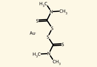 CN(C)C(=S)SSC(=S)N(C)C.[Au]